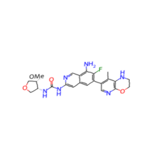 CO[C@H]1COC[C@H]1NC(=O)Nc1cc2cc(-c3cnc4c(c3C)NCCO4)c(F)c(N)c2cn1